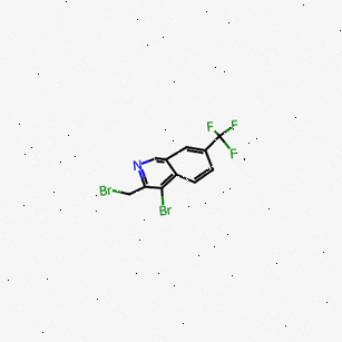 FC(F)(F)c1ccc2c(Br)c(CBr)ncc2c1